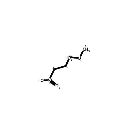 CONCC[N+](=O)[O-]